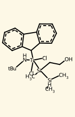 C[SiH](C)[Si](C)(CCO)[Ti]([Cl])([Cl])([NH]C(C)(C)C)[CH]1c2ccccc2-c2ccccc21